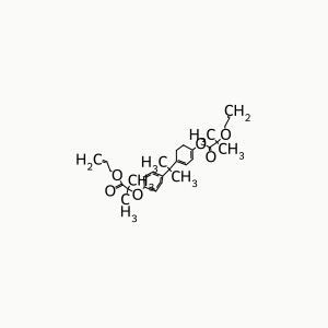 C=CCOC(=O)C(C)(C)Oc1ccc(C(C)(C)C2=CC=C(OC(=O)C(C)(C)OCC=C)CC2)cc1